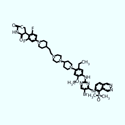 CCc1cc(Nc2ncc(Br)c(Nc3ccc4cnncc4c3P(C)(C)=O)n2)c(OC)cc1N1CCC(N2CCN(CCC3CCN(c4cc(F)c(C5CCC(=O)NC5=O)c(F)c4)CC3)CC2)CC1